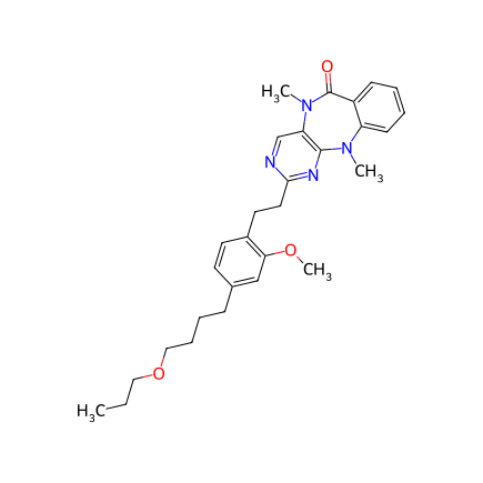 CCCOCCCCc1ccc(CCc2ncc3c(n2)N(C)c2ccccc2C(=O)N3C)c(OC)c1